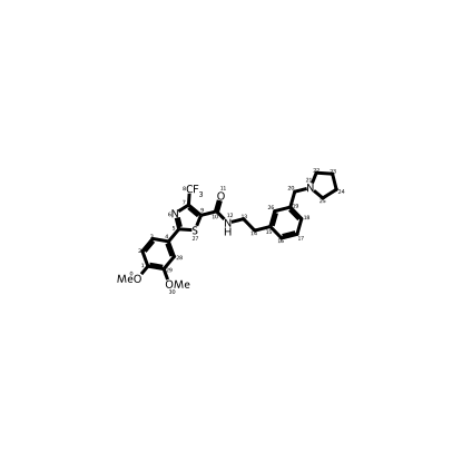 COc1ccc(-c2nc(C(F)(F)F)c(C(=O)NCCc3cccc(CN4CCCC4)c3)s2)cc1OC